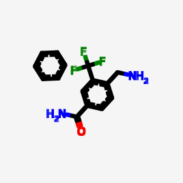 NCc1ccc(C(N)=O)cc1C(F)(F)F.c1ccccc1